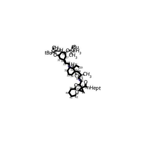 CCCCCCCC(=O)C1(C(/C=C/[C@@H](C)[C@H]2CC[C@H]3/C(=C/C=C4C[C@@H](O[Si](C)(C)C(C)(C)C)C[C@H](O[Si](C)(C)C(C)(C)C)C4)CCC[C@]23C)OC2CCCCO2)CC1